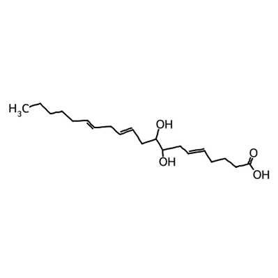 CCCCCC=CCC=CCC(O)C(O)CC=CCCCC(=O)O